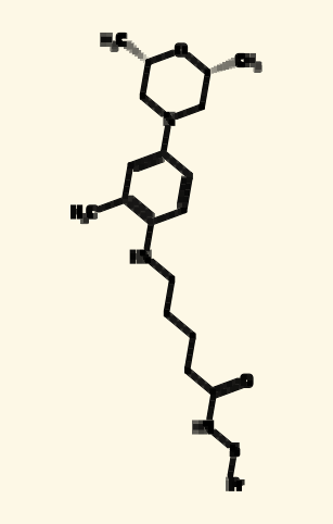 Cc1cc(N2C[C@@H](C)O[C@@H](C)C2)ccc1NCCCCC(=O)NSC(C)C